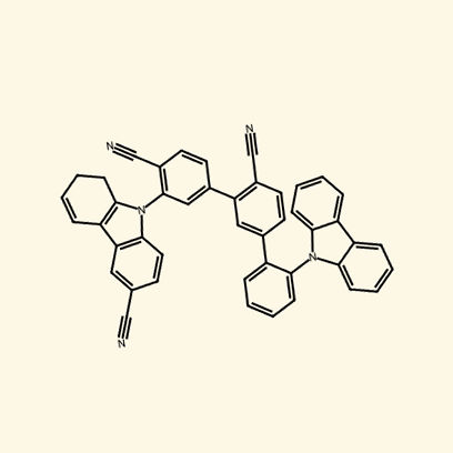 N#Cc1ccc2c(c1)c1c(n2-c2cc(-c3cc(-c4ccccc4-n4c5ccccc5c5ccccc54)ccc3C#N)ccc2C#N)CCC=C1